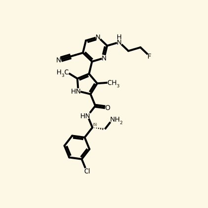 Cc1[nH]c(C(=O)N[C@H](CN)c2cccc(Cl)c2)c(C)c1-c1nc(NCCF)ncc1C#N